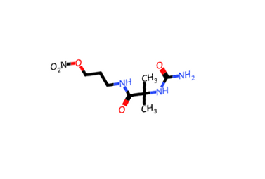 CC(C)(NC(N)=O)C(=O)NCCCO[N+](=O)[O-]